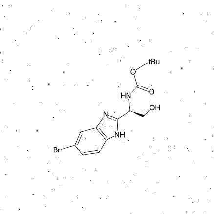 CC(C)(C)OC(=O)N[C@@H](CO)c1nc2cc(Br)ccc2[nH]1